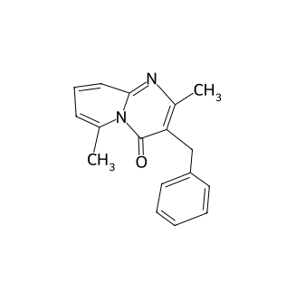 Cc1nc2cccc(C)n2c(=O)c1Cc1ccccc1